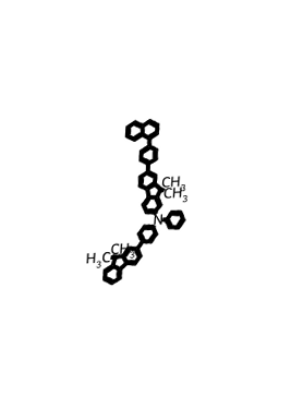 CC1(C)c2ccccc2-c2ccc(-c3ccc(N(c4ccccc4)c4ccc5c(c4)C(C)(C)c4cc(-c6ccc(-c7cccc8ccccc78)cc6)ccc4-5)cc3)cc21